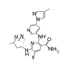 Cc1cnn(-c2cncc(Nc3nc(N[C@@H](CN)CC(C)C)c(F)cc3C(N)=O)c2)c1